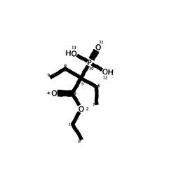 CCOC(=O)C(CC)(CC)P(=O)(O)O